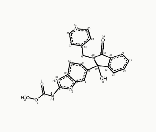 COC(=O)Nc1nc2cc(C3(O)c4ccccc4C(=O)N3Cc3ccncc3)ccc2[nH]1